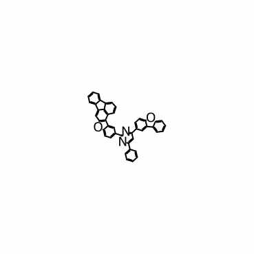 c1ccc(-c2cc(-c3ccc4oc5ccccc5c4c3)nc(-c3ccc4oc5cc6c7c(cccc7c5c4c3)-c3ccccc3-6)n2)cc1